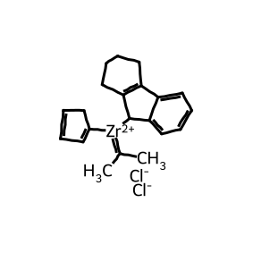 C[C](C)=[Zr+2]([C]1=CC=CC1)[CH]1C2=C(CCCC2)c2ccccc21.[Cl-].[Cl-]